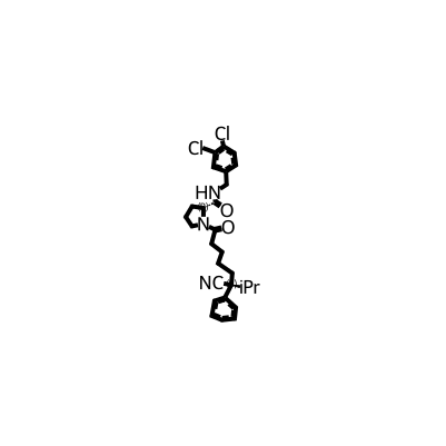 CC(C)[C@@](C#N)(CCCCC(=O)N1CCC[C@@H]1C(=O)NCc1ccc(Cl)c(Cl)c1)c1ccccc1